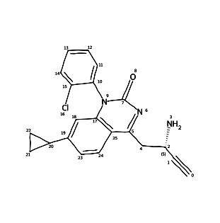 C#C[C@@H](N)Cc1nc(=O)n(-c2ccccc2Cl)c2cc(C3CC3)ccc12